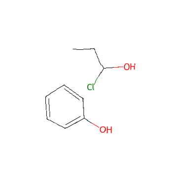 CCC(O)Cl.Oc1ccccc1